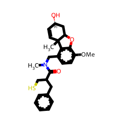 COc1ccc(CN(C)C(=O)C(CS)Cc2ccccc2)c2c1OC1C[C@@H](O)C=CC21C